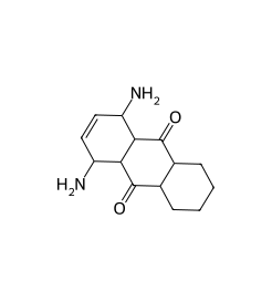 NC1C=CC(N)C2C(=O)C3CCCCC3C(=O)C12